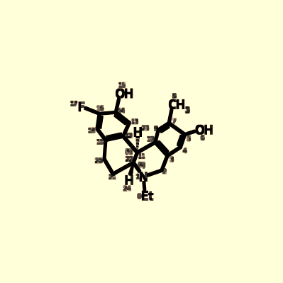 CCN1Cc2cc(O)c(C)cc2[C@@H]2c3cc(O)c(F)cc3CC[C@H]21